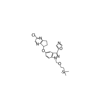 C[Si](C)(C)CCOCn1nc(-c2cnco2)c2cc(OC3CCc4nc(Cl)cnc43)ccc21